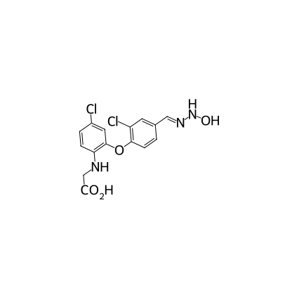 O=C(O)CNc1ccc(Cl)cc1Oc1ccc(C=NNO)cc1Cl